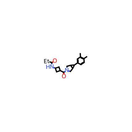 CCC(=O)NC1CC(C(=O)N2CC3C(C2)C3c2ccc(C)c(C)c2)C1